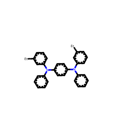 CCc1cccc(N(c2ccccc2)c2ccc(N(c3ccccc3)c3cccc(CC)c3)cc2)c1